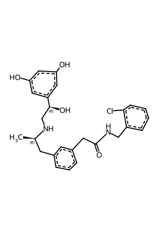 C[C@H](Cc1cccc(CC(=O)NCc2ccccc2Cl)c1)NC[C@H](O)c1cc(O)cc(O)c1